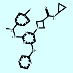 C[C@H](Nc1nc(Nc2cnccn2)cc(N2CC(C(=O)NC3CC3)C2)n1)c1ccc(F)cc1